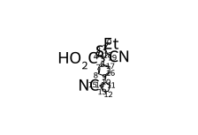 CCc1sc(C(=O)O)c(-c2ccc([C@H]3CCC=C3C#N)cc2)c1C#N